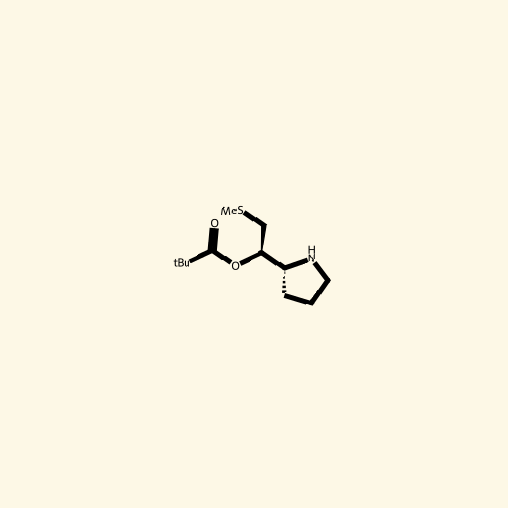 CSC[C@H](OC(=O)C(C)(C)C)[C@H]1CCCN1